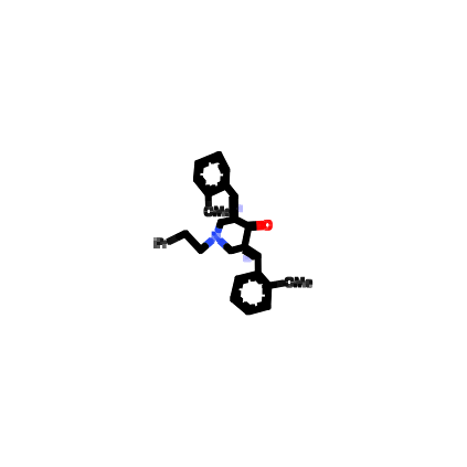 COc1ccccc1/C=C1\CN(CCC(C)C)C/C(=C\c2ccccc2OC)C1=O